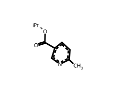 [CH2][C@@H](C)OC(=O)c1ccc(C)nc1